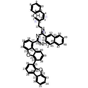 C/C=C(\C=C/c1ccccc1)C/N=C(\N=C(/N)c1cccc2oc3c(-c4cccc5c4oc4ccccc45)cccc3c12)c1ccc2ccccc2c1